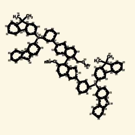 CCCCOc1ccc2cc(-c3cccc(N(c4ccc5c(c4)-c4ccccc4C5(C)C)c4ccc5sc6ccccc6c5c4)c3)ccc2c1-c1c(COCCC)ccc2cc(-c3cccc(N(c4ccc5c(c4)-c4ccccc4C5(C)C)c4ccc5sc6ccccc6c5c4)c3)ccc12